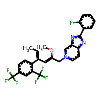 CC=C(/C=C(/Cn1ccc2nc(-c3ccccc3F)nc-2c1)OC)c1ccc(C(F)(F)F)cc1C(F)(F)F